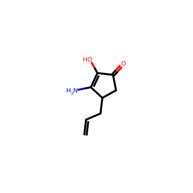 C=CCC1CC(=O)C(O)=C1N